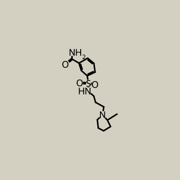 CC1CCCCN1CCCNS(=O)(=O)c1cccc(C(N)=O)c1